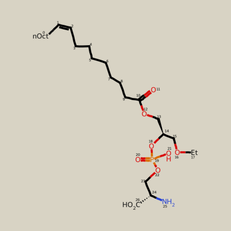 CCCCCCCC/C=C\CCCCCCCC(=O)OC[C@@H](COCC)OP(=O)(O)OC[C@H](N)C(=O)O